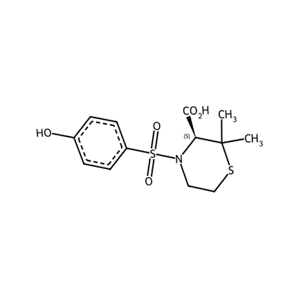 CC1(C)SCCN(S(=O)(=O)c2ccc(O)cc2)[C@H]1C(=O)O